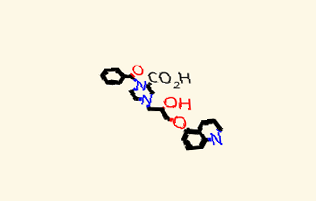 O=C(O)C1CN(C[C@@H](O)COc2cccc3ncccc23)CCN1C(=O)c1ccccc1